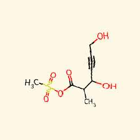 CC(C(=O)OS(C)(=O)=O)C(O)C#CCO